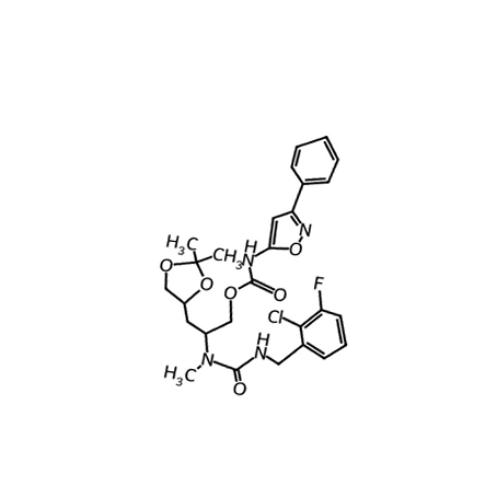 CN(C(=O)NCc1cccc(F)c1Cl)C(COC(=O)Nc1cc(-c2ccccc2)no1)CC1COC(C)(C)O1